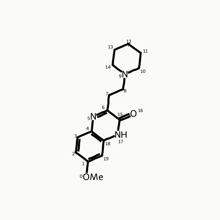 COc1ccc2nc(CCN3CC[CH]CC3)c(=O)[nH]c2c1